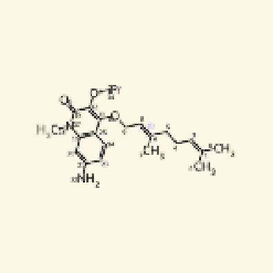 CC(C)=CCC/C(C)=C/COc1c(OC(C)C)c(=O)n(C)c2cc(N)ccc12